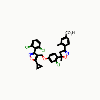 Cc1cc(C(=O)O)ccc1C1=NOC(C)(c2ccc(OCc3c(-c4c(Cl)cccc4Cl)noc3C3CC3)cc2Cl)C1